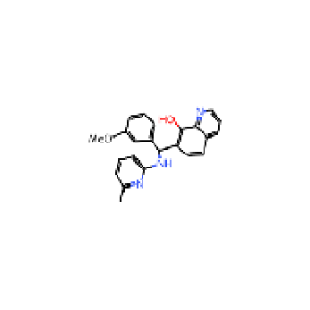 COc1cccc([C@H](Nc2cccc(C)n2)c2ccc3cccnc3c2O)c1